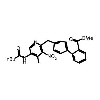 CCCCC(=O)Nc1cnc(Cc2ccc(-c3ccccc3C(=O)OC)cc2)c([N+](=O)[O-])c1C